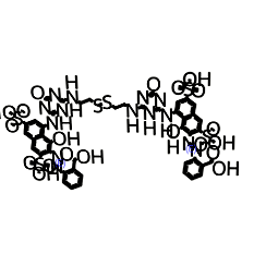 O=C(O)c1ccccc1/N=N/c1c(S(=O)(=O)O)cc2cc(S(=O)(=O)O)cc(Nc3nc(=O)nc(NCCSSCCNc4nc(=O)nc(Nc5cc(S(=O)(=O)O)cc6cc(S(=O)(=O)O)c(/N=N/c7ccccc7C(=O)O)c(O)c56)[nH]4)[nH]3)c2c1O